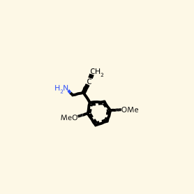 C=C=C(CN)c1cc(OC)ccc1OC